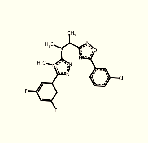 CC(c1noc(-c2cccc(Cl)c2)n1)N(C)c1nnc(C2C=C(F)C=C(F)C2)n1C